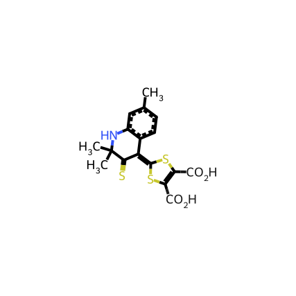 Cc1ccc2c(c1)NC(C)(C)C(=S)C2=C1SC(C(=O)O)=C(C(=O)O)S1